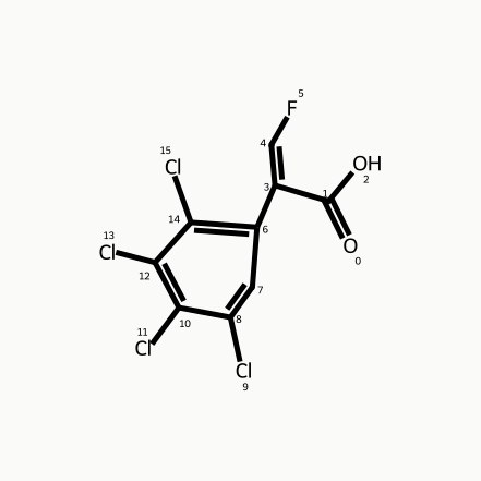 O=C(O)C(=CF)c1cc(Cl)c(Cl)c(Cl)c1Cl